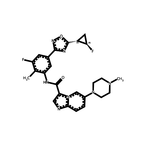 Cc1c(F)cc(-c2noc([C@@H]3C[C@H]3F)n2)cc1NC(=O)c1cnc2ccc(N3CCN(C)CC3)cn12